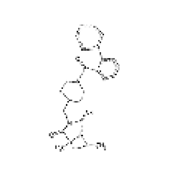 CC1CC2(C)C(=O)N(CC3CCN(C(=O)c4ccccc4-c4ccccc4)CC3)C(=N)N12